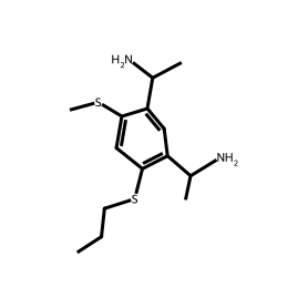 CCCSc1cc(SC)c(C(C)N)cc1C(C)N